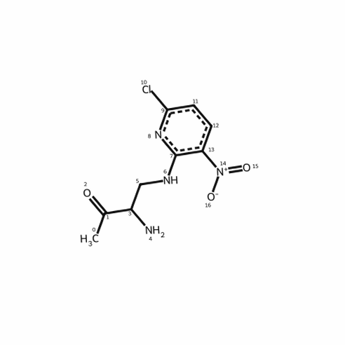 CC(=O)C(N)CNc1nc(Cl)ccc1[N+](=O)[O-]